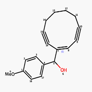 COc1ccc(C(O)/C2=C/C#CCCCCC#C2)cc1